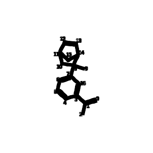 C=C(C)c1cccc(C2(C)CC3C=CC2C3)c1